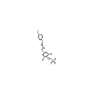 CCc1ccc(C=NN=Cc2cc(F)c(OCC(F)(F)F)c(F)c2)cc1